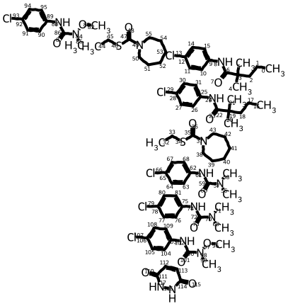 CCCC(C)(C)C(=O)Nc1ccc(Cl)cc1.CCCC(C)(C)C(=O)Nc1ccc(Cl)cc1.CCSC(=O)N1CCCCCC1.CCSC(=O)N1CCCCCC1.CN(C)C(=O)Nc1ccc(Cl)cc1.CN(C)C(=O)Nc1ccc(Cl)cc1.CON(C)C(=O)Nc1ccc(Cl)cc1.CON(C)C(=O)Nc1ccc(Cl)cc1.O=c1ccc(=O)[nH][nH]1